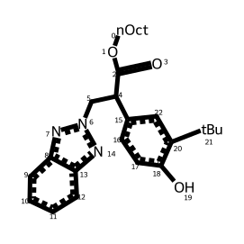 CCCCCCCCOC(=O)C(Cn1nc2ccccc2n1)c1ccc(O)c(C(C)(C)C)c1